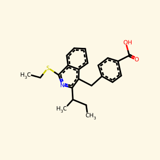 CCSc1nc(C(C)CC)c(Cc2ccc(C(=O)O)cc2)c2ccccc12